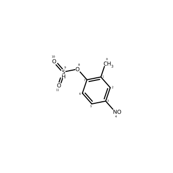 Cc1cc(N=O)ccc1O[SH](=O)=O